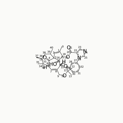 CC1=CC23C(=O)[C@@H](C=C4COC(C)(C)O[C@H]4[C@]2(O)[C@H]1OC(=O)c1cncn1-c1ccccc1)C(C)(C)[C@@H](C)CC3C